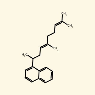 CC(C)=CCC/C(C)=C/CC(C)c1cccc2ccccc12